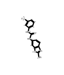 CCCc1nc2ccc(NC(=O)Nc3cccc(C(F)(F)F)c3)cc2o1